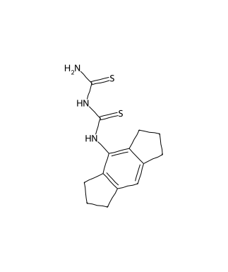 NC(=S)NC(=S)Nc1c2c(cc3c1CCC3)CCC2